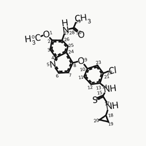 COc1cc2nccc(Oc3ccc(NC(=S)NC4CC4)c(Cl)c3)c2cc1NC(C)=O